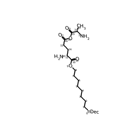 CCCCCCCCCCCCCCCCCCOC(=O)[C@H](N)CCC(=O)OC(=O)[C@@H](C)N